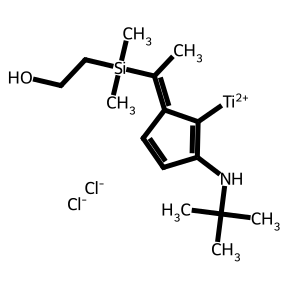 CC(=C1C=CC(NC(C)(C)C)=[C]1[Ti+2])[Si](C)(C)CCO.[Cl-].[Cl-]